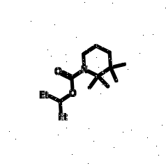 CCC(CC)OC(=O)N1CCCC(C)(C)C1(C)C